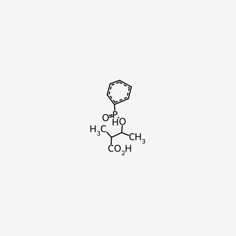 CC(O[PH](=O)c1ccccc1)C(C)C(=O)O